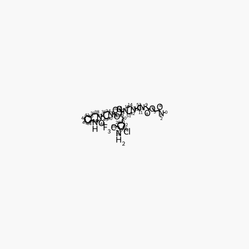 CN(C)C(=O)COC(=O)CN1CC(N2CCN(C(=O)[C@@H](Cc3cc(Cl)c(N)c(C(F)(F)F)c3)OC(=O)N3CCC(N4CCc5ccccc5NC4=O)CC3)CC2)C1